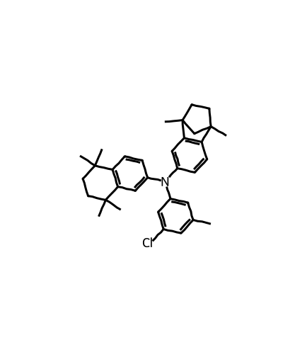 Cc1cc(Cl)cc(N(c2ccc3c(c2)C(C)(C)CCC3(C)C)c2ccc3c(c2)C2(C)CCC3(C)C2)c1